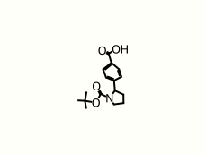 CC(C)(C)OC(=O)N1CCCC1c1ccc(C(=O)O)cc1